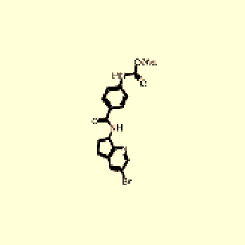 COC(=O)Nc1ccc(C(=O)NC2CCc3cc(Br)cnc32)cc1